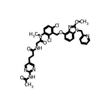 COc1nc2c(OCc3c(Cl)ccc(N(C)C(=O)CNC(=O)CCc4cnc(NC(C)=O)nc4)c3Cl)cccc2n1Cc1ccccn1